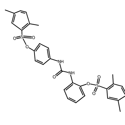 Cc1ccc(C)c(S(=O)(=O)Oc2ccc(NC(=O)Nc3ccccc3OS(=O)(=O)c3cc(C)ccc3C)cc2)c1